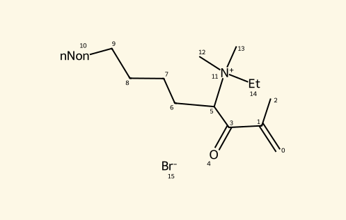 C=C(C)C(=O)C(CCCCCCCCCCCCC)[N+](C)(C)CC.[Br-]